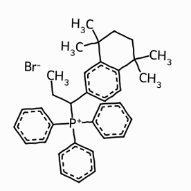 CCC(c1ccc2c(c1)C(C)(C)CCC2(C)C)[P+](c1ccccc1)(c1ccccc1)c1ccccc1.[Br-]